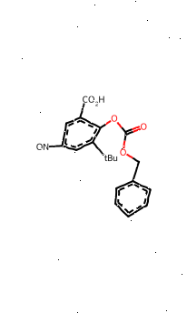 CC(C)(C)c1cc(N=O)cc(C(=O)O)c1OC(=O)OCc1ccccc1